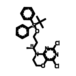 C[C@@H](CCO[Si](c1ccccc1)(c1ccccc1)C(C)(C)C)N1CCOc2c(Cl)nc(Cl)nc21